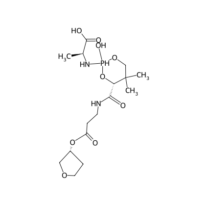 C[C@H](N[PH]1(O)OCC(C)(C)[C@H](C(=O)NCCC(=O)O[C@@H]2CCOC2)O1)C(=O)O